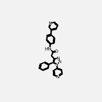 O=C(Cc1nnn(-c2ccncc2)c1-c1ccccc1)Nc1ccc(-c2cccnc2)cc1